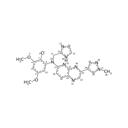 COc1cc(OC)c(Cl)c(N(Cc2ncc[nH]2)c2ccc3ncc(-c4cnn(C)c4)nc3n2)c1